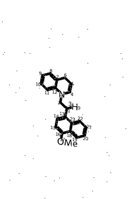 [3H][C](CN1C=CCc2ccccc21)c1ccc(OC)c2ccccc12